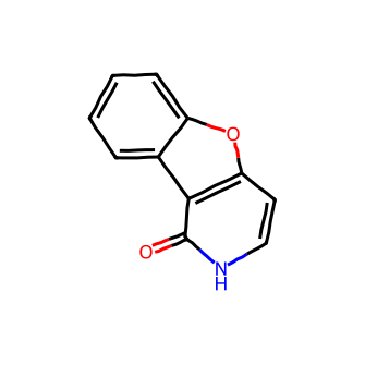 O=c1[nH]ccc2oc3ccccc3c12